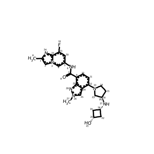 Cc1cn2cc(NC(=O)c3ccc(N4CC[C@@H](N[C@H]5C[C@@H](O)C5)C4)c4cn(C)nc34)cc(F)c2n1